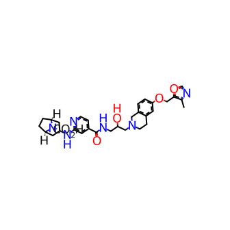 Cc1ncoc1COc1ccc2c(c1)CCN(CC(O)CNC(=O)c1ccnc(NC3C[C@H]4CC[C@@H](C3)N4C(=O)O)c1)C2